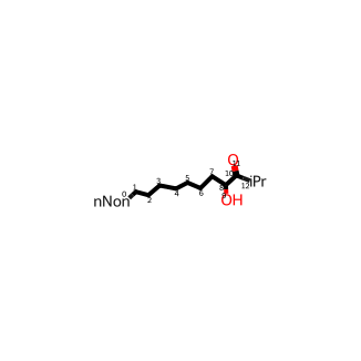 CCCCCCCCCCCCCCCCC(O)C(=O)C(C)C